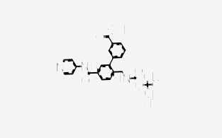 CC(C)(C)OC(=O)NCc1ccc(C(=O)Nc2ccncc2)cc1-c1cccc(C(=O)O)c1